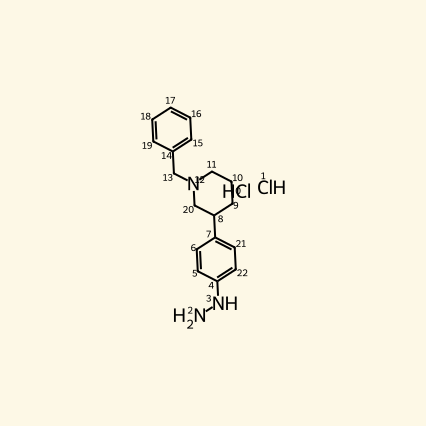 Cl.Cl.NNc1ccc(C2CCCN(Cc3ccccc3)C2)cc1